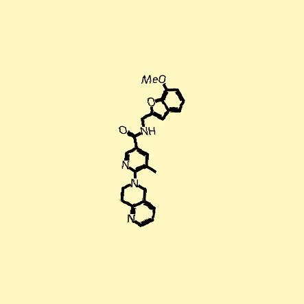 COc1cccc2cc(CNC(=O)c3cnc(N4CCc5ncccc5C4)c(C)c3)oc12